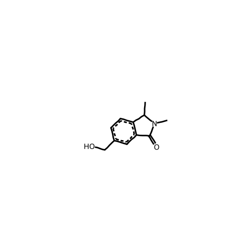 CC1c2ccc(CO)cc2C(=O)N1C